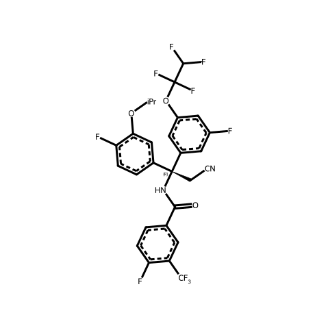 CC(C)Oc1cc([C@@](CC#N)(NC(=O)c2ccc(F)c(C(F)(F)F)c2)c2cc(F)cc(OC(F)(F)C(F)F)c2)ccc1F